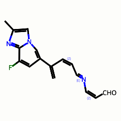 C=C(\C=C/C=N/C=C\C=O)c1cc(F)c2nc(C)cn2c1